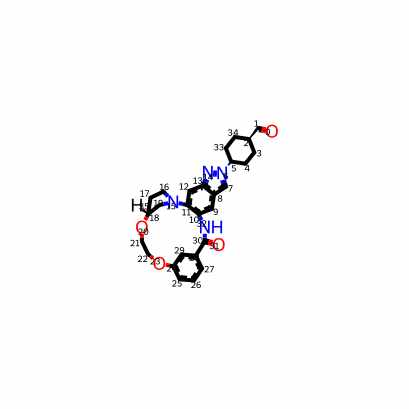 O=C[C@H]1CC[C@H](n2cc3cc4c(cc3n2)N2CC[C@H](C2)OCCOc2cccc(c2)C(=O)N4)CC1